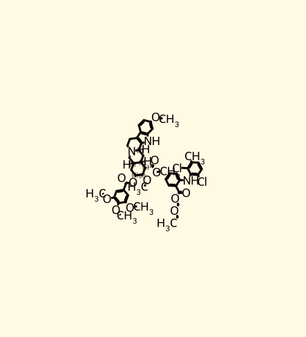 CCOCOC(=O)c1ccccc1Nc1c(Cl)ccc(C)c1Cl.COC(=O)[C@H]1[C@H]2C[C@@H]3c4[nH]c5cc(OC)ccc5c4CCN3C[C@H]2C[C@@H](OC(=O)c2cc(OC)c(OC)c(OC)c2)[C@@H]1OC